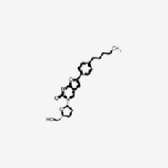 CCCCCc1ccc(-c2cc3cn([C@@H]4CC[C@H](CO)O4)c(=O)nc3o2)cc1